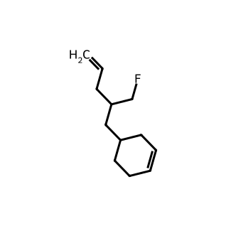 C=CCC(CF)CC1CC=CCC1